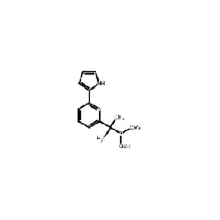 COP(OC)C(C)(C)c1cccc(-c2ccc[nH]2)n1